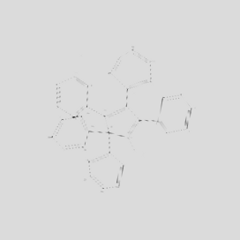 [Cl-].[Cl-].[Cl-].[Ti+3][C]1=C(c2ccccc2)C(c2ccccc2)=C(c2ccccc2)C1(c1ccccc1)c1ccccc1